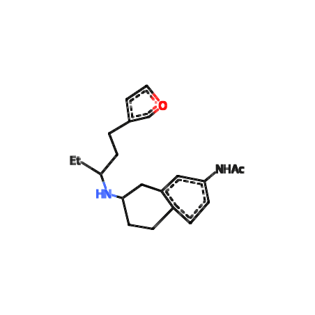 CCC(CCc1ccoc1)NC1CCc2ccc(NC(C)=O)cc2C1